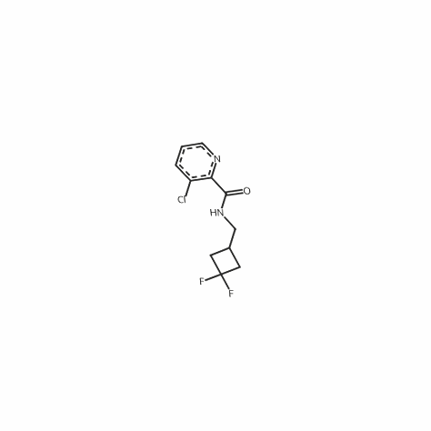 O=C(NCC1CC(F)(F)C1)c1ncccc1Cl